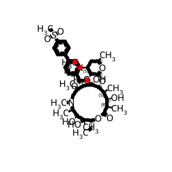 CC[C@H]1OC(=O)[C@H](C)[C@@H](O)[C@H](C)[C@@H](O[C@@H]2O[C@H](C)C[C@H](N(C)C)[C@H]2OC(=O)c2ccc(-c3ccc(S(C)(=O)=O)cc3)cc2)[C@@](C)(O)C[C@@H](C)CN(C)[C@H](C)[C@@H](O)[C@]1(C)O